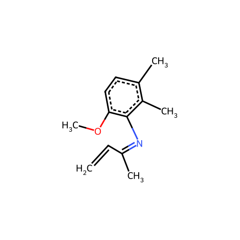 C=C/C(C)=N\c1c(OC)ccc(C)c1C